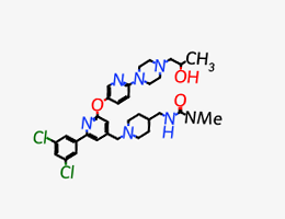 CNC(=O)NCC1CCN(Cc2cc(Oc3ccc(N4CCN(CC(C)O)CC4)nc3)nc(-c3cc(Cl)cc(Cl)c3)c2)CC1